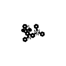 c1ccc(-c2nc(-c3ccccc3)nc(-c3ccc4nc(-c5ccccc5)c5cc6c(cc5c4c3)C3(c4ccccc4Sc4ccccc43)c3ccccc3-6)n2)cc1